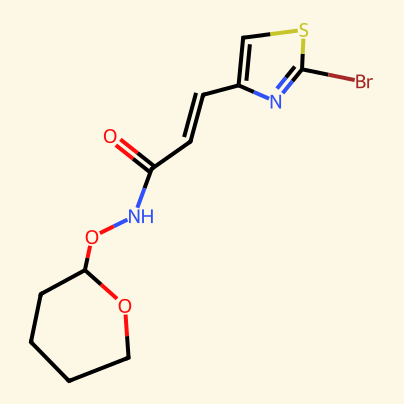 O=C(/C=C/c1csc(Br)n1)NOC1CCCCO1